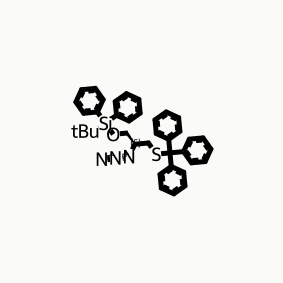 CC(C)(C)[Si](OC[C@@H](CSC(c1ccccc1)(c1ccccc1)c1ccccc1)N=[N+]=[N-])(c1ccccc1)c1ccccc1